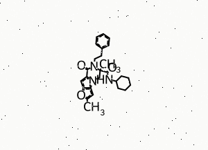 Cc1cc2c(cc3n2CC(C)(C(=O)NC2CCCCC2)N(CCc2ccccc2)C3=O)o1